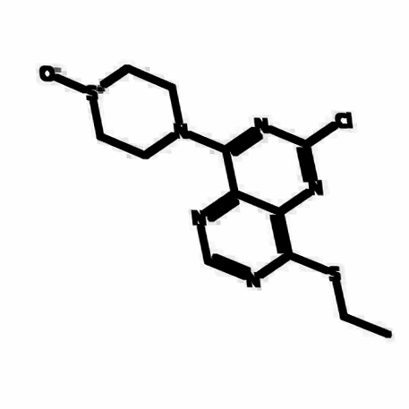 CCSc1ncnc2c(N3CC[S+]([O-])CC3)nc(Cl)nc12